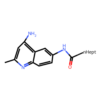 CCCCCCCC(=O)Nc1ccc2nc(C)cc(N)c2c1